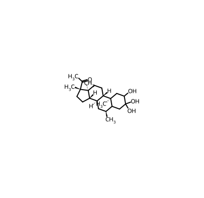 CC(=O)[C@@]1(C)CC[C@H]2[C@@H]3C[C@H](C)C4CC(O)(O)C(O)C[C@]4(C)[C@H]3CC[C@@]21C